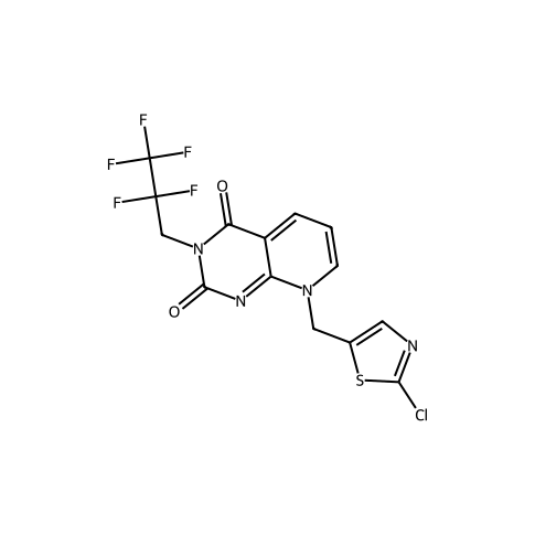 O=c1nc2n(Cc3cnc(Cl)s3)cccc-2c(=O)n1CC(F)(F)C(F)(F)F